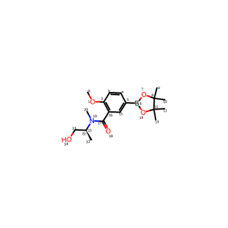 COc1ccc(B2OC(C)(C)C(C)(C)O2)cc1C(=O)N(C)[C@@H](C)CO